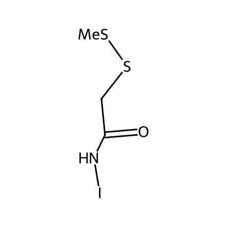 CSSCC(=O)NI